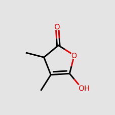 CC1=C(O)OC(=O)C1C